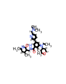 CCN(c1cc(-c2ccc(CN(C)C)nc2)cc(C(=O)NCC2C(=O)N=C(C)CC2C)c1C)C1CCOCC1